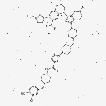 CC(=O)N1CCc2c(c(N3CCCc4cc(-c5ccn(C)n5)c(C(F)F)cc43)nn2C2CCN(CC3CCC(n4cc(C(=O)NC5CCC(Oc6ccc(C#N)c(Cl)c6)CC5)cn4)CC3)CC2)C1